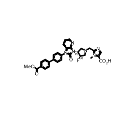 COC(=O)c1ccc(-c2ccc(-n3c(=O)n([C@@H]4CN(Cc5ncc(C(=O)O)n5C)C[C@H]4F)c4ncccc43)cc2)cc1